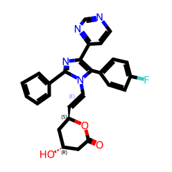 O=C1C[C@H](O)C[C@@H](/C=C/n2c(-c3ccccc3)nc(-c3ccncn3)c2-c2ccc(F)cc2)O1